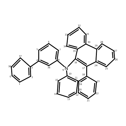 c1ccc(-c2cccc(N(c3ccccc3)c3c(-c4ccccc4)c4ccccc4c4ccccc34)c2)cc1